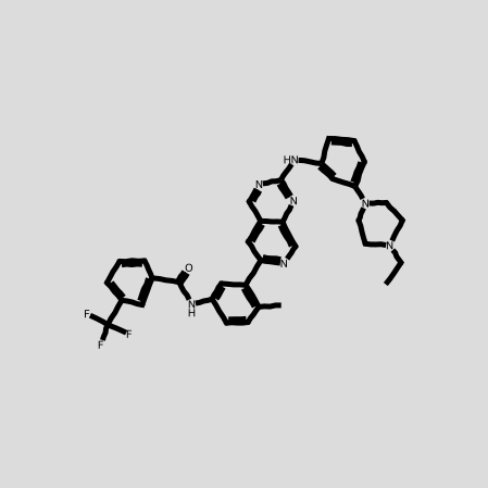 CCN1CCN(c2cccc(Nc3ncc4cc(-c5cc(NC(=O)c6cccc(C(F)(F)F)c6)ccc5C)ncc4n3)c2)CC1